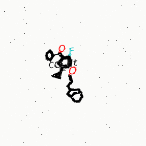 CCOC(=O)[C@@H]1CCC[C@H]1C(=O)c1cc(C2CC2)c(OCCCC2CC3CCCC(C2)C3)cc1F